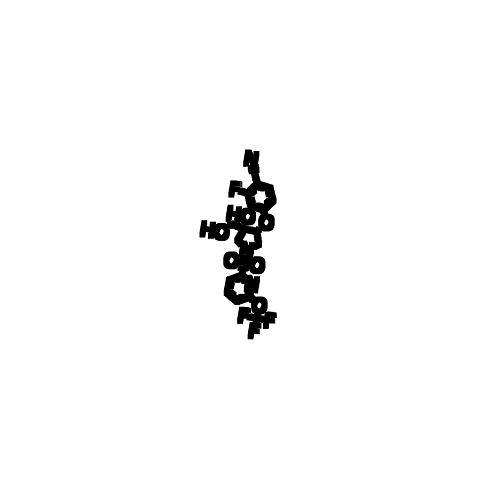 N#Cc1ccc(O[C@H]2CN(S(=O)(=O)c3cccc(OC(F)(F)F)n3)C[C@@]2(O)CO)cc1F